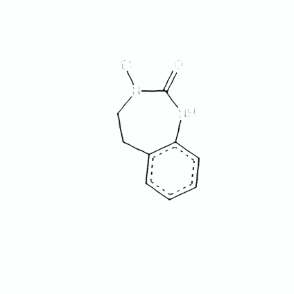 CCN1CCc2ccccc2NC1=O